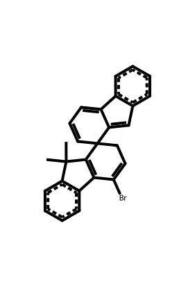 CC1(C)C2=C(C(Br)=CCC23C=CC=C2C3=Cc3ccccc32)c2ccccc21